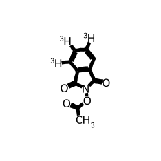 [3H]c1cc2c(c([3H])c1[3H])C(=O)N(OC(C)=O)C2=O